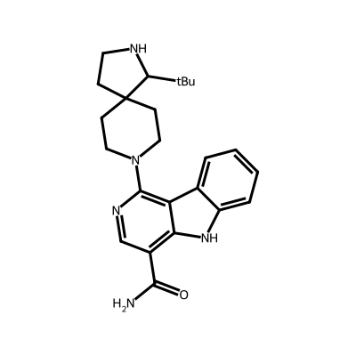 CC(C)(C)C1NCCC12CCN(c1ncc(C(N)=O)c3[nH]c4ccccc4c13)CC2